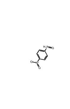 O=[PH2]c1ccc([N+](=O)[O-])cc1